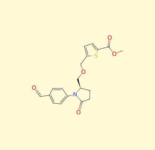 COC(=O)c1ccc(COC[C@H]2CCC(=O)N2c2ccc(C=O)cc2)s1